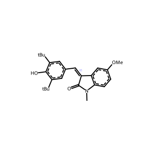 COc1ccc2c(c1)/C(=C/c1cc(C(C)(C)C)c(O)c(C(C)(C)C)c1)C(=O)N2C